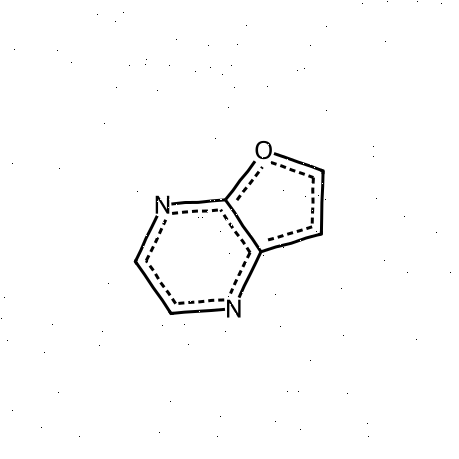 c1cnc2occc2n1